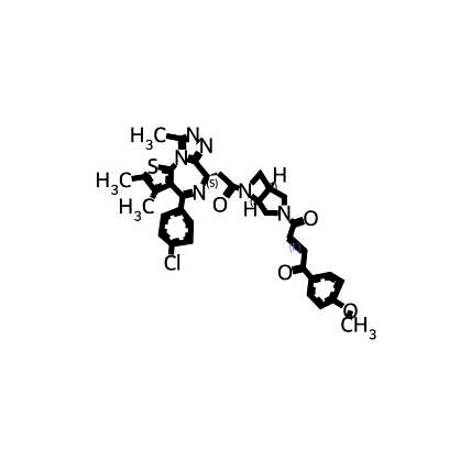 COc1ccc(C(=O)/C=C/C(=O)N2C[C@@H]3CN(C(=O)C[C@@H]4N=C(c5ccc(Cl)cc5)c5c(sc(C)c5C)-n5c(C)nnc54)[C@@H]3C2)cc1